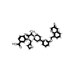 CC(c1nc2ccc(C(=O)O)cc2n1CC1CCO1)N1CCC(c2cccc(OCc3cccc4cc(F)cnc34)n2)CC1